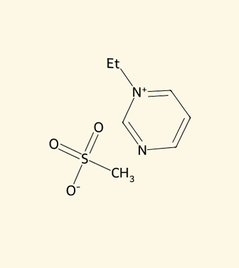 CC[n+]1cccnc1.CS(=O)(=O)[O-]